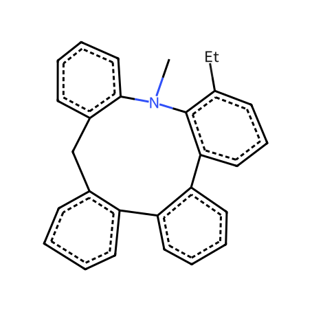 CCc1cccc2c1N(C)c1ccccc1Cc1ccccc1-c1ccccc1-2